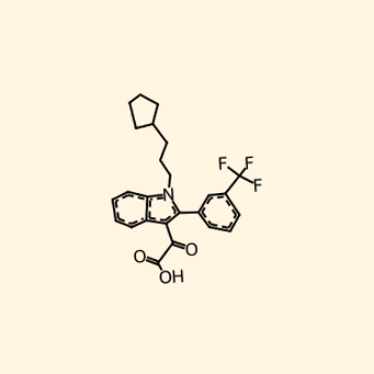 O=C(O)C(=O)c1c(-c2cccc(C(F)(F)F)c2)n(CCCC2CCCC2)c2ccccc12